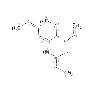 C=CCC/C(=C\C)NC(/C=C\C)=C/C=C\C